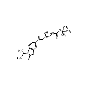 CC(C)N1C(=O)Cc2cc(NC[C@@H](O)CNC(=O)OC(C)(C)C)ccc21